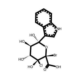 O=C(O)[C@@]1(Br)O[C@](O)(c2c[nH]c3ccccc23)[C@H](O)[C@@H](O)[C@@]1(O)Cl